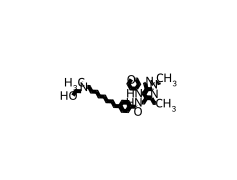 CCc1nc2c(cnn2CC)c(NC2CCOCC2)c1CNC(=O)c1ccc(CCCCCCCCN(C)CCO)cc1